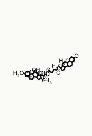 C=C1C=CC2(C)C(=C1)CCC1C3CC(C)C(O)(C(=O)COC(=O)CCC(=O)OC4CCC5C6CCC7=CC(=O)CCC7(C)C6CCC45C)C3(C)CC(O)C12F